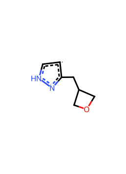 [c]1c[nH]nc1CC1COC1